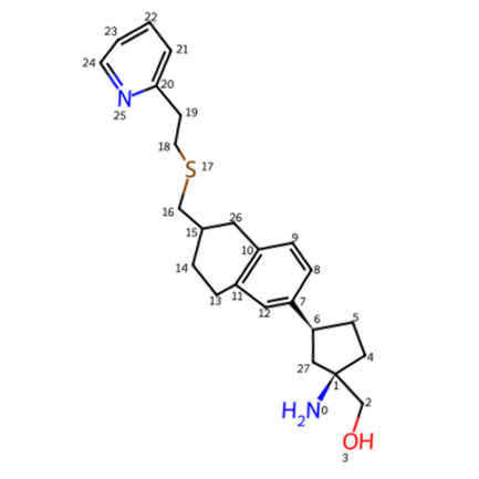 N[C@]1(CO)CC[C@H](c2ccc3c(c2)CCC(CSCCc2ccccn2)C3)C1